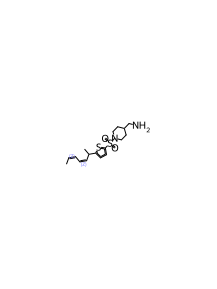 C/C=C\C=C/C(C)c1ccc(S(=O)(=O)N2CCC(CN)CC2)s1